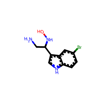 NCC(NO)c1c[nH]c2ccc(Br)cc12